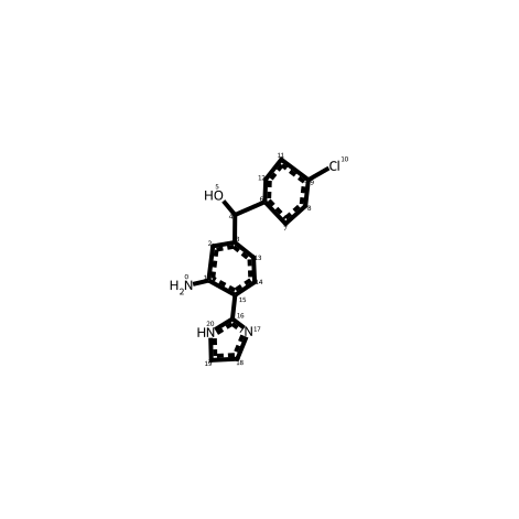 Nc1cc(C(O)c2ccc(Cl)cc2)ccc1-c1ncc[nH]1